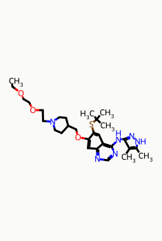 CCOCCOCCN1CCC(COc2cc3ncnc(Nc4n[nH]c(C)c4C)c3cc2SC(C)(C)C)CC1